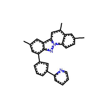 Cc1ccc2c(c1)c(C)cc1c3cc(C)cc(-c4cccc(-c5ccccn5)c4)c3nn21